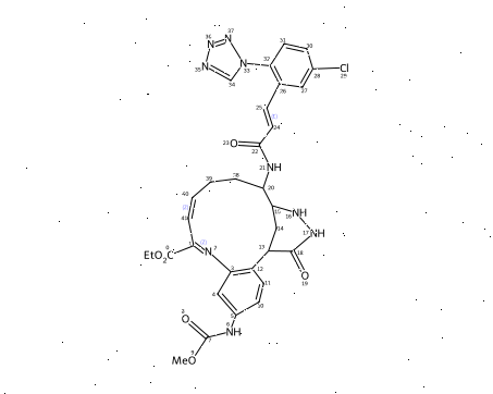 CCOC(=O)C1=N\c2cc(NC(=O)OC)ccc2C2CC(NNC2=O)C(NC(=O)/C=C/c2cc(Cl)ccc2-n2cnnn2)CC/C=C\1